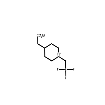 CCOC(=O)CC1CC[NH+](C[B-](F)(F)F)CC1